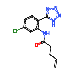 C=CCCC(=O)Nc1cc(Cl)ccc1-c1nnn[nH]1